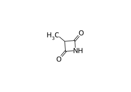 CC1C(=O)NC1=O